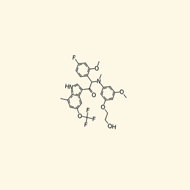 COc1cc(OCCO)cc(N(C)C(C(=O)c2c[nH]c3c(C)cc(OC(F)(F)F)cc23)c2ccc(F)cc2OC)c1